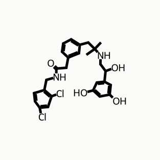 CC(C)(Cc1cccc(CC(=O)NCc2ccc(Cl)cc2Cl)c1)NCC(O)c1cc(O)cc(O)c1